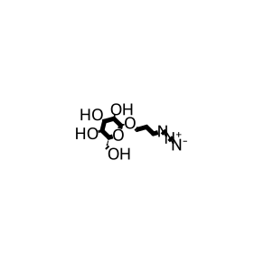 [N-]=[N+]=NCCCO[C@@H]1O[C@H](CO)[C@@H](O)[C@H](O)[C@@H]1O